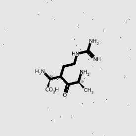 C[C@H](N)C(=O)C(CCNC(=N)N)[C@H](N)C(=O)O